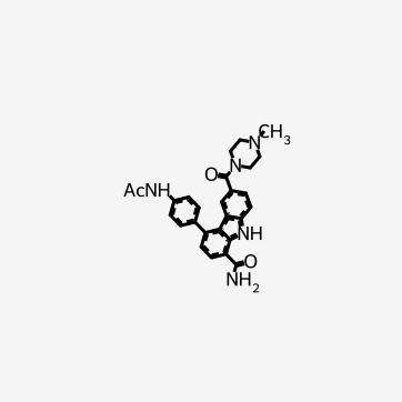 CC(=O)Nc1ccc(-c2ccc(C(N)=O)c3[nH]c4ccc(C(=O)N5CCN(C)CC5)cc4c23)cc1